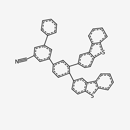 N#Cc1cc(-c2ccccc2)cc(-c2ccc(-c3ccc4sc5ccccc5c4c3)c(-c3ccc4sc5ccccc5c4c3)c2)c1